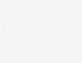 CCCCCCCCCCCCCCC=CCN1CCN=C1CCO